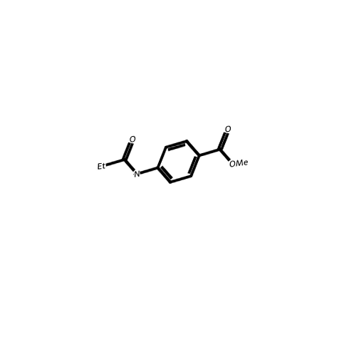 CCC(=O)[N]c1ccc(C(=O)OC)cc1